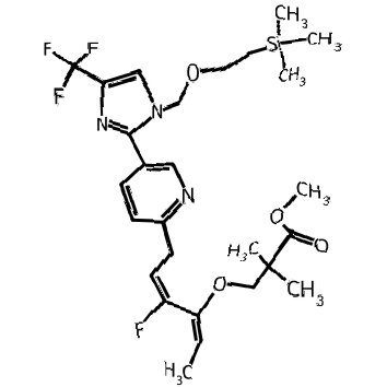 C/C=C(OCC(C)(C)C(=O)OC)\C(F)=C/Cc1ccc(-c2nc(C(F)(F)F)cn2COCC[Si](C)(C)C)cn1